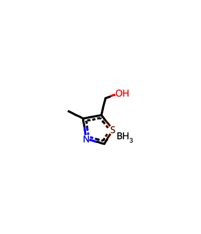 B.Cc1ncsc1CO